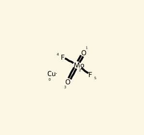 [Cu].[O]=[Mo](=[O])([F])[F]